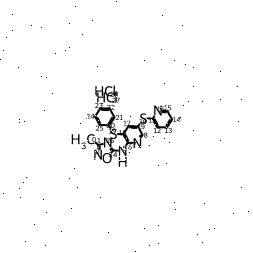 Cc1noc(Nc2ncc(Sc3ccccn3)cc2Sc2ccccc2)n1.Cl.Cl